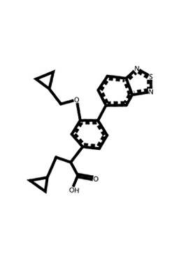 O=C(O)C(CC1CC1)c1ccc(-c2ccc3nsnc3c2)c(OCC2CC2)c1